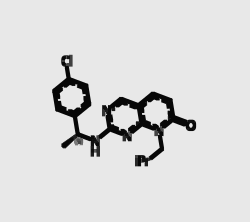 CC(C)Cn1c(=O)ccc2cnc(N[C@@H](C)c3ccc(Cl)cc3)nc21